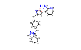 Nc1ncccc1-c1cc(Cc2ccc(Cn3ncc4ccccc43)cc2)no1